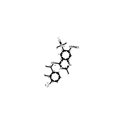 CCNc1cc2nc(C)nc(NC(C)c3cccc(C(F)(F)F)c3C)c2cc1P(C)(C)=O